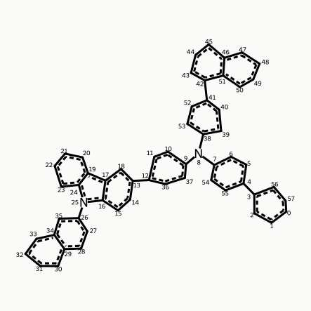 c1ccc(-c2ccc(N(c3ccc(-c4ccc5c(c4)c4ccccc4n5-c4ccc5ccccc5c4)cc3)c3ccc(-c4cccc5ccccc45)cc3)cc2)cc1